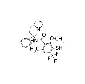 COc1c(S)c(C(F)(F)F)cc(C)c1C(=O)NC1(c2ccccc2)CCC2CCCN2C1